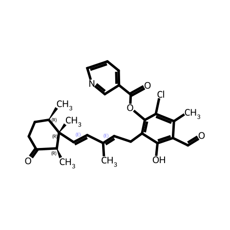 CC(/C=C/[C@@]1(C)[C@H](C)CCC(=O)[C@@H]1C)=C\Cc1c(O)c(C=O)c(C)c(Cl)c1OC(=O)c1cccnc1